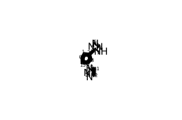 c1cc(-c2nnn[nH]2)cc(-n2ccnn2)c1